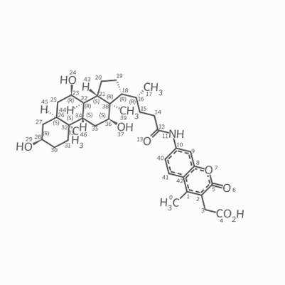 Cc1c(CC(=O)O)c(=O)oc2cc(NC(=O)CC[C@@H](C)[C@H]3CC[C@H]4[C@@H]5[C@H](O)C[C@@H]6C[C@H](O)CC[C@]6(C)[C@H]5C[C@H](O)[C@]34C)ccc12